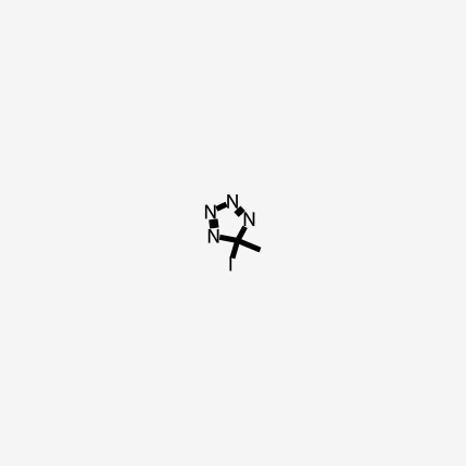 CC1(I)N=NN=N1